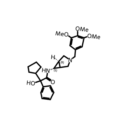 COc1cc(CN2CC3[C@H](C2)[C@H]3NC(=O)C(O)(c2ccccc2)C2CCCC2)cc(OC)c1OC